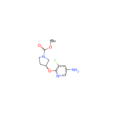 CC(C)(C)OC(=O)N1CC[C@H](Oc2ncc(N)cc2F)C1